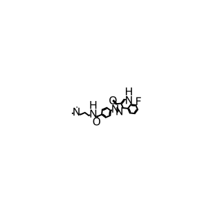 CN(C)CCCNC(=O)c1ccc(-n2nc3c4cccc(F)c4[nH]cc-3c2=O)cc1